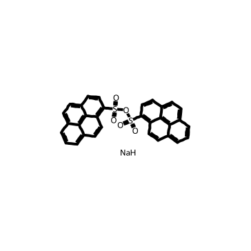 O=S(=O)(OS(=O)(=O)c1ccc2ccc3cccc4ccc1c2c34)c1ccc2ccc3cccc4ccc1c2c34.[NaH]